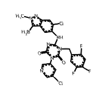 Bc1c2cc(Nc3nc(=O)n(-c4cncc(Cl)c4)c(=O)n3Cc3cc(F)c(F)cc3F)c(Cl)cc2nn1C